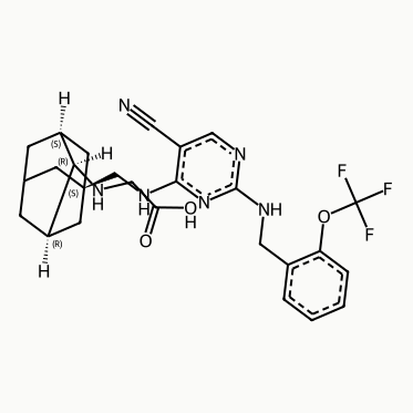 N#Cc1cnc(NCc2ccccc2OC(F)(F)F)nc1NC[C@]12CC3C[C@H](C1)[C@H](NCC(=O)O)[C@@H](C3)C2